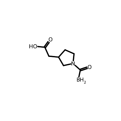 BC(=O)N1CCC(CC(=O)O)C1